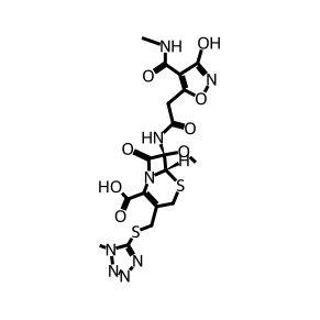 CNC(=O)c1c(O)noc1CC(=O)N[C@]1(OC)C(=O)N2C(C(=O)O)=C(CSc3nnnn3C)CS[C@H]21